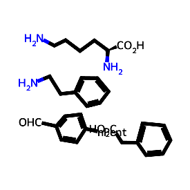 CCCCCc1ccc(C=O)cc1.NCCCC[C@H](N)C(=O)O.NCCc1ccccc1.O=C(O)Cc1ccccc1